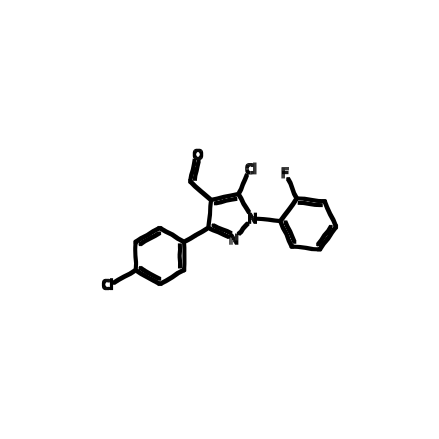 O=Cc1c(-c2ccc(Cl)cc2)nn(-c2ccccc2F)c1Cl